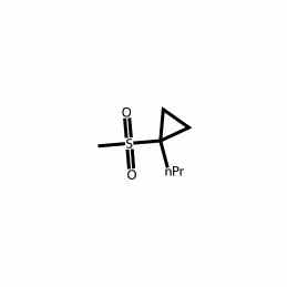 CCCC1(S(C)(=O)=O)CC1